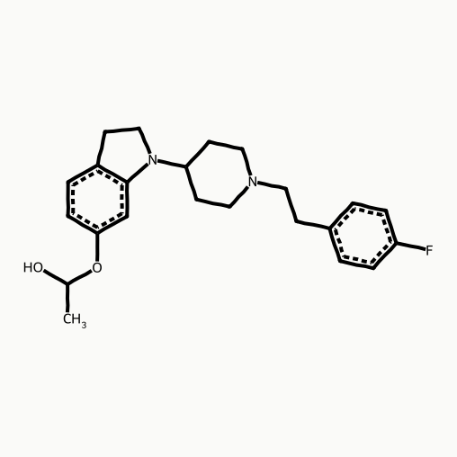 CC(O)Oc1ccc2c(c1)N(C1CCN(CCc3ccc(F)cc3)CC1)CC2